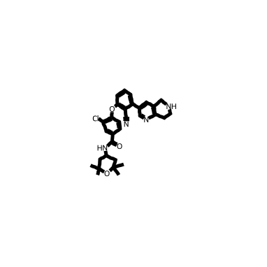 CC1(C)CC(NC(=O)c2ccc(Oc3cccc(-c4cnc5c(c4)CNCC5)c3C#N)c(Cl)c2)CC(C)(C)O1